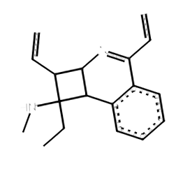 C=CC1=NC2C(C=C)C(CC)(NC)C2c2ccccc21